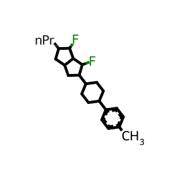 CCCC1CC2CC(C3CCC(c4ccc(C)cc4)CC3)C(F)C2C1F